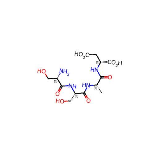 C[C@H](NC(=O)[C@H](CO)NC(=O)[C@@H](N)CO)C(=O)N[C@@H](CC(=O)O)C(=O)O